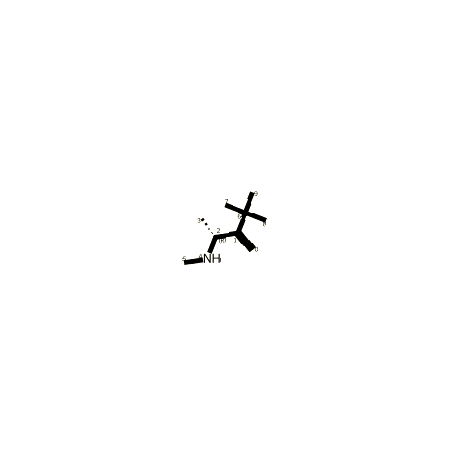 C=C([C@@H](C)NC)C(C)(C)C